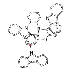 c1ccc2c(c1)Oc1ccccc1B2c1c(-n2c3ccccc3c3ccccc32)cccc1-n1c2ccccc2c2cc(-n3c4ccccc4c4ccccc43)ccc21